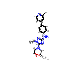 Cc1cc(-c2ccc(Nc3nc(N4CCOC(C(F)(F)F)C4)n(C(C)C)n3)cc2)ccn1